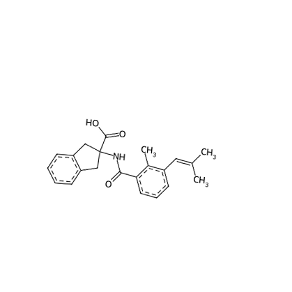 CC(C)=Cc1cccc(C(=O)NC2(C(=O)O)Cc3ccccc3C2)c1C